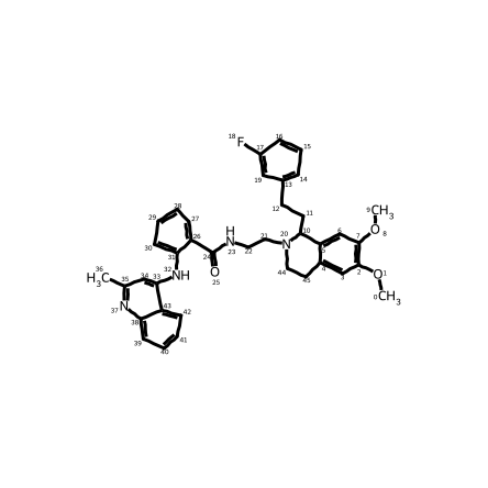 COc1cc2c(cc1OC)C(CCc1cccc(F)c1)N(CCNC(=O)c1ccccc1Nc1cc(C)nc3ccccc13)CC2